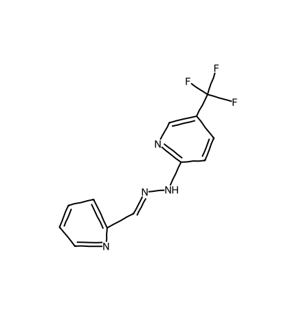 FC(F)(F)c1ccc(N/N=C/c2ccccn2)nc1